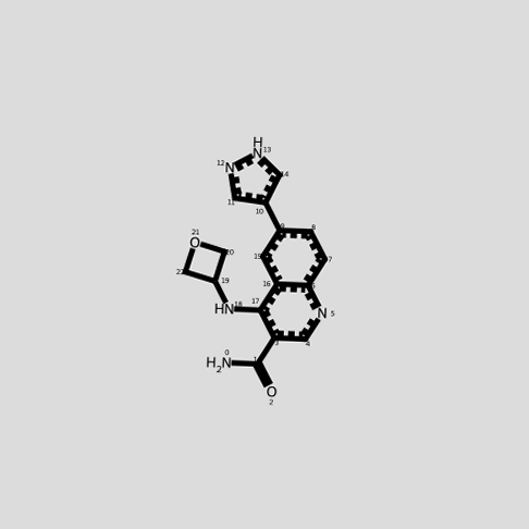 NC(=O)c1cnc2ccc(-c3cn[nH]c3)cc2c1NC1COC1